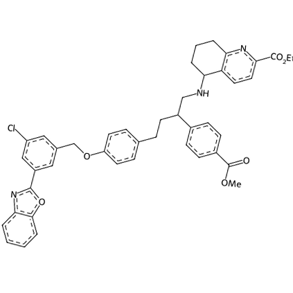 CCOC(=O)c1ccc2c(n1)CCCC2NCC(CCc1ccc(OCc2cc(Cl)cc(-c3nc4ccccc4o3)c2)cc1)c1ccc(C(=O)OC)cc1